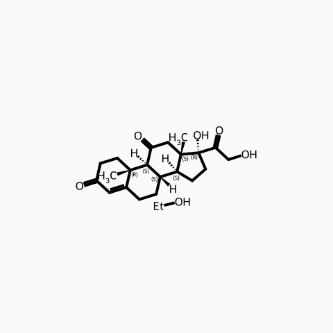 CCO.C[C@]12CCC(=O)C=C1CC[C@@H]1[C@@H]2C(=O)C[C@@]2(C)[C@H]1CC[C@]2(O)C(=O)CO